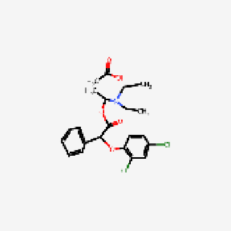 CC(=O)O.CCN(CC)C(C)OC(=O)C(Oc1ccc(Cl)cc1Cl)c1ccccc1